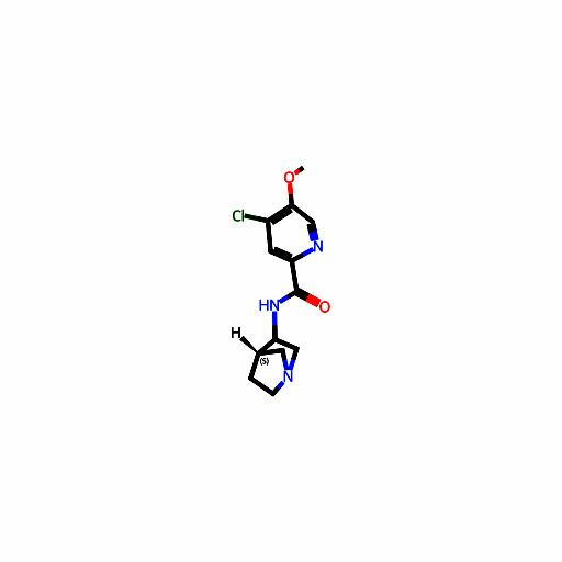 COc1cnc(C(=O)NC2CN3CC[C@H]2C3)cc1Cl